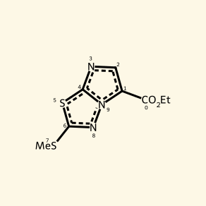 CCOC(=O)c1cnc2sc(SC)nn12